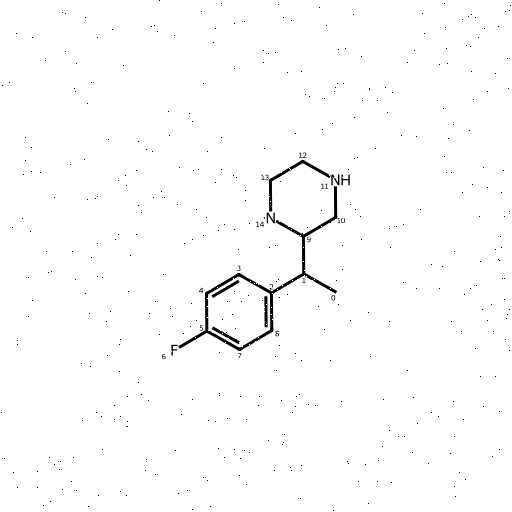 CC(c1ccc(F)cc1)C1CNCC[N]1